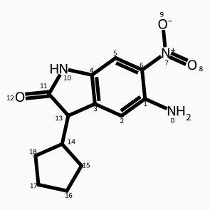 Nc1cc2c(cc1[N+](=O)[O-])NC(=O)C2C1CCCC1